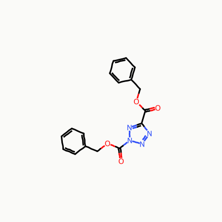 O=C(OCc1ccccc1)c1nnn(C(=O)OCc2ccccc2)n1